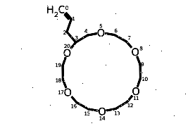 C=CCC1COCCOCCOCCOCCOCCO1